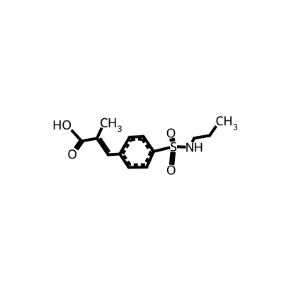 CCCNS(=O)(=O)c1ccc(/C=C(\C)C(=O)O)cc1